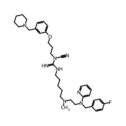 CN(CCCCCNC(=N)N(C#N)CCCOc1cccc(CN2CCCCC2)c1)CCN(Cc1ccc(F)cc1)c1ccccn1